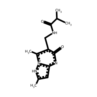 Cc1cc2nc(=O)c(CNC(=O)C(C)C)c(C)n2[nH]1